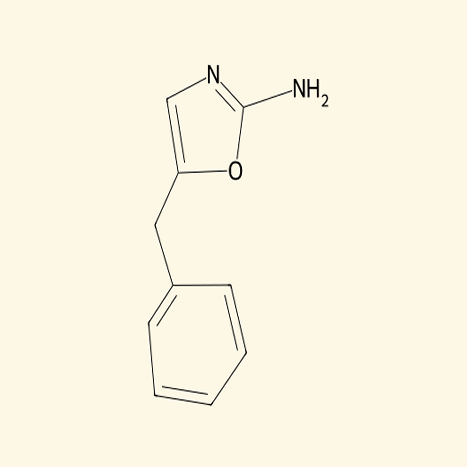 Nc1ncc(Cc2ccccc2)o1